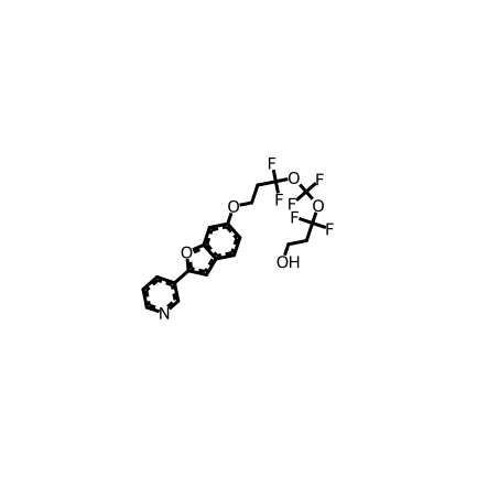 OCCC(F)(F)OC(F)(F)OC(F)(F)CCOc1ccc2cc(-c3cccnc3)oc2c1